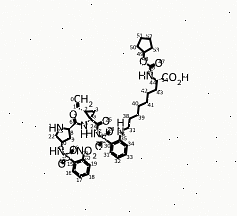 C=C[C@@H]1C[C@@]1(NC(=O)[C@H]1C[C@@H](NS(=O)(=O)c2ccccc2[N+](=O)[O-])CN1)C(=O)NS(=O)(=O)c1ccccc1NCCCCCCC[C@H](NC(=O)OC1CCCC1)C(=O)O